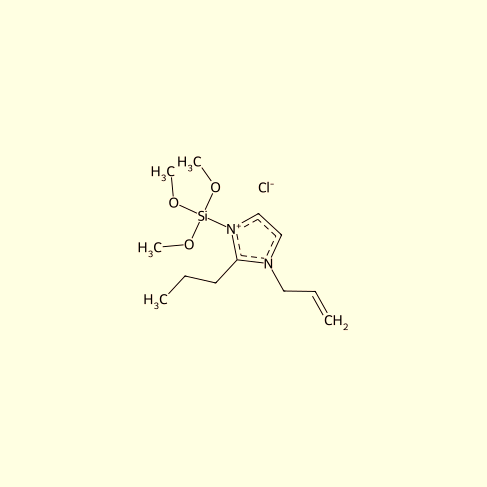 C=CCn1cc[n+]([Si](OC)(OC)OC)c1CCC.[Cl-]